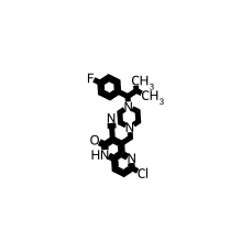 CC(C)C(c1ccc(F)cc1)N1CCN(Cc2c(C#N)c(=O)[nH]c3ccc(Cl)nc23)CC1